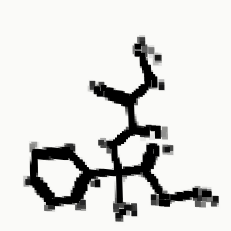 COC(=O)C(O)SC(O)(C(=O)OC)c1ccccc1